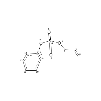 C=CCOS(=O)(=O)O[n+]1ccccc1